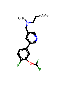 COCCN(C=O)Cc1cncc(-c2ccc(F)c(OC(F)F)c2)c1